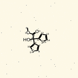 COC(=O)C(O)(c1ccsc1)c1cccs1